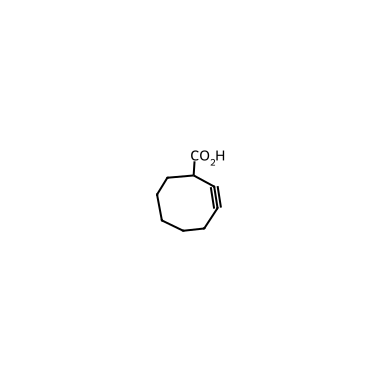 O=C(O)C1C#CCCCCC1